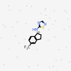 FC(F)(F)c1ccc2c(c1)CC[C@H]2Nc1ncns1